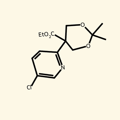 CCOC(=O)C1(c2ccc(Cl)cn2)COC(C)(C)OC1